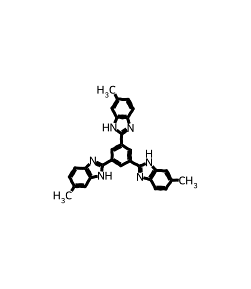 Cc1ccc2nc(-c3cc(-c4nc5ccc(C)cc5[nH]4)cc(-c4nc5ccc(C)cc5[nH]4)c3)[nH]c2c1